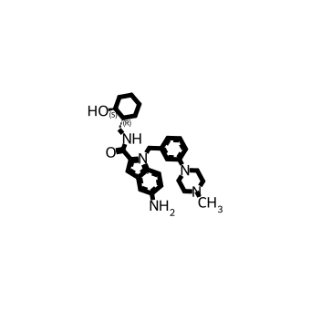 CN1CCN(c2cccc(Cn3c(C(=O)NC[C@H]4CCCC[C@@H]4O)cc4cc(N)ccc43)c2)CC1